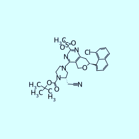 CC(C)(C)OC(=O)N1CCN(c2nc(S(C)(=O)=O)nc3c2CO[C@H](c2cccc4cccc(Cl)c24)C3)C[C@@H]1CC#N